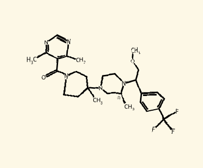 COCC(c1ccc(C(F)(F)F)cc1)N1CCN(C2(C)CCN(C(=O)c3c(C)ncnc3C)CC2)C[C@@H]1C